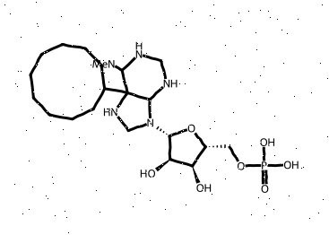 CNC1NCNC2N([C@@H]3O[C@H](COP(=O)(O)O)[C@@H](O)[C@H]3O)CNC12C1CCCCCCCCC1